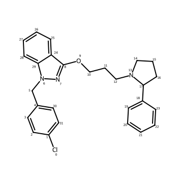 Clc1ccc(Cn2nc(OCCCN3CCCC3c3ccccc3)c3ccccc32)cc1